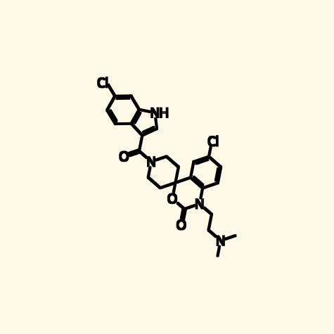 CN(C)CCN1C(=O)OC2(CCN(C(=O)c3c[nH]c4cc(Cl)ccc34)CC2)c2cc(Cl)ccc21